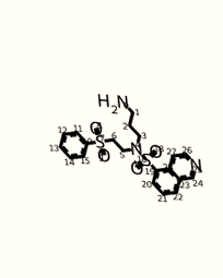 NCCCN(CCS(=O)(=O)c1ccccc1)S(=O)(=O)c1cccc2cnccc12